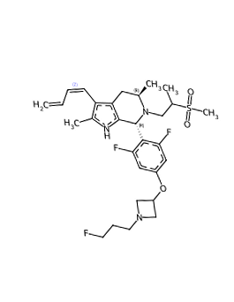 C=C/C=C\c1c(C)[nH]c2c1C[C@@H](C)N(CC(C)S(C)(=O)=O)[C@@H]2c1c(F)cc(OC2CN(CCCF)C2)cc1F